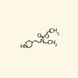 CCOC(=O)N(CC)CCC1CCNCC1